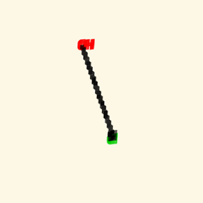 C[Si](C)(Cl)CCCCCCCCCCCCCCCCCCCCCCCCCCCCCCCCCCCCO